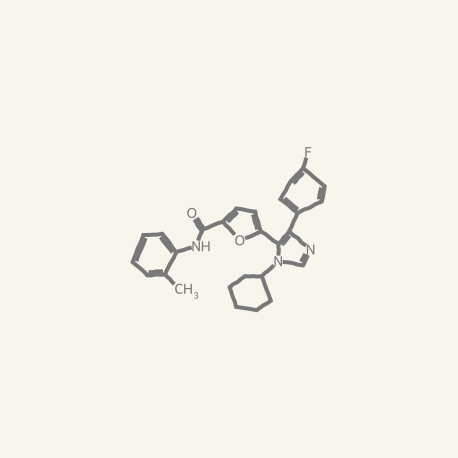 Cc1ccccc1NC(=O)c1ccc(-c2c(-c3ccc(F)cc3)ncn2C2CCCCC2)o1